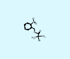 CC(C)(Br)C(=O)OCc1ccccc1[N+](=O)[O-]